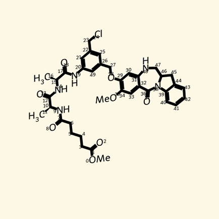 COC(=O)CCCCC(=O)N[C@@H](C)C(=O)N[C@@H](C)C(=O)Nc1cc(CCl)cc(COc2cc3c(cc2OC)C(=O)N2c4ccccc4CC2CN3)c1